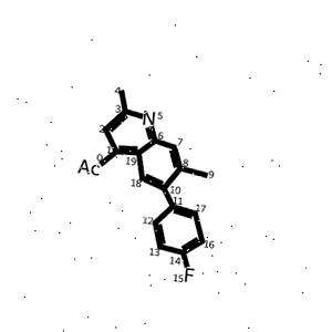 CC(=O)c1cc(C)nc2cc(C)c(-c3ccc(F)cc3)cc12